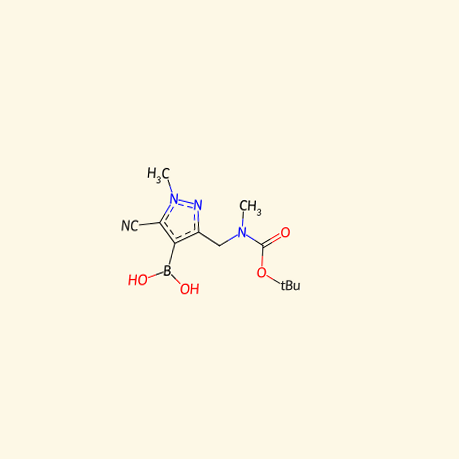 CN(Cc1nn(C)c(C#N)c1B(O)O)C(=O)OC(C)(C)C